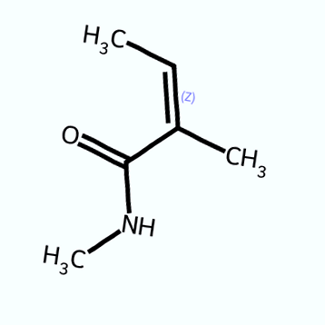 C/C=C(/C)C(=O)NC